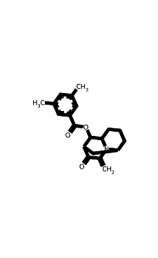 C=C1C(=O)C2CC3CCCC(C2OC(=O)c2cc(C)cc(C)c2)N13